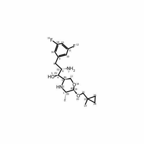 C[C@@H]1N[C@@H]([C@@H](O)[C@@H](N)Cc2cc(F)cc(F)c2)CO[C@H]1OCC1(C)CC1